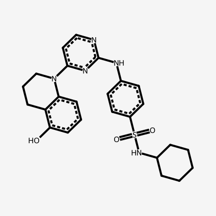 O=S(=O)(NC1CCCCC1)c1ccc(Nc2nccc(N3CCCc4c(O)cccc43)n2)cc1